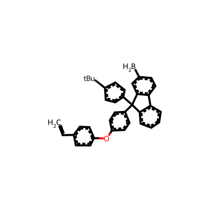 Bc1ccc2c(c1)C(c1ccc(Oc3ccc(C=C)cc3)cc1)(c1ccc(C(C)(C)C)cc1)c1ccccc1-2